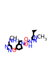 CNCc1cc(Oc2ccc3c(ccn3OC(=O)Nc3cc(C4CC4)n(C)n3)c2)ncn1